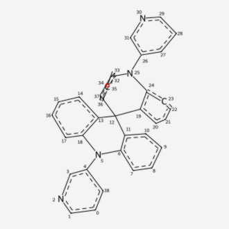 c1cncc(N2c3ccccc3C3(c4ccccc42)c2ccccc2N(c2cccnc2)c2ccccc23)c1